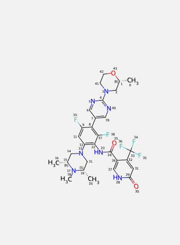 C[C@@H]1CN(c2ncc(-c3c(F)cc(N4C[C@@H](C)N(C)[C@@H](C)C4)c(NC(=O)c4c[nH]c(=O)cc4C(F)(F)F)c3F)cn2)CCO1